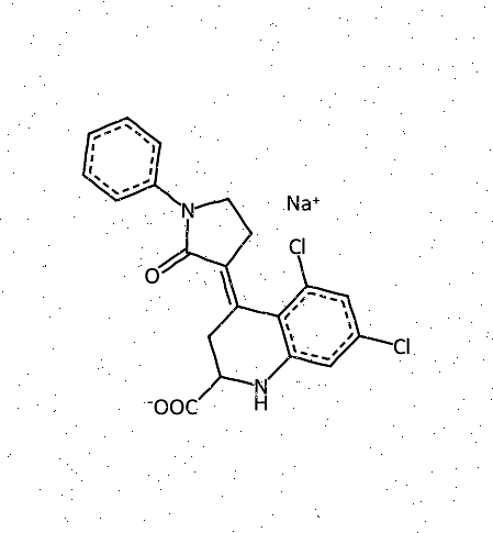 O=C([O-])C1CC(=C2CCN(c3ccccc3)C2=O)c2c(Cl)cc(Cl)cc2N1.[Na+]